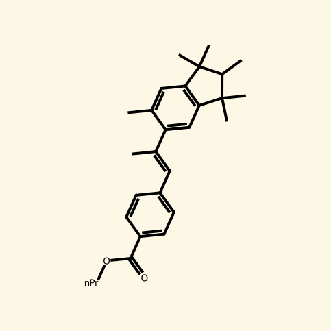 CCCOC(=O)c1ccc(/C=C(\C)c2cc3c(cc2C)C(C)(C)C(C)C3(C)C)cc1